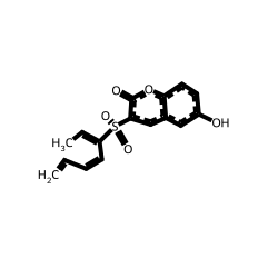 C=C/C=C\C(=C/C)S(=O)(=O)c1cc2cc(O)ccc2oc1=O